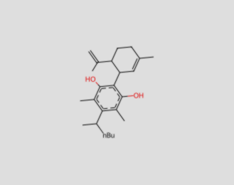 C=C(C)C1CCC(C)=CC1c1c(O)c(C)c(C(C)CCCC)c(C)c1O